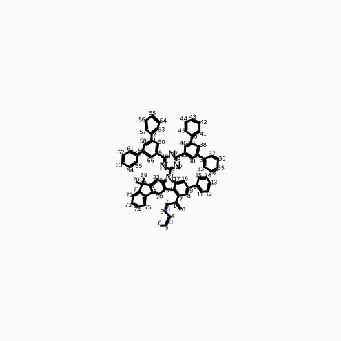 C=C(/C=C\C=C/C)c1cc(-c2ccccc2)cc2c1c1cc3c(cc1n2-c1nc(-c2cc(-c4ccccc4)cc(-c4ccccc4)c2)nc(-c2cc(-c4ccccc4)cc(-c4ccccc4)c2)n1)C(C)(C)c1ccccc1-3